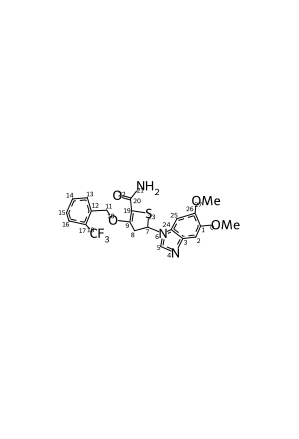 COc1cc2ncn(C3CC(OCc4ccccc4C(F)(F)F)=C(C(N)=O)S3)c2cc1OC